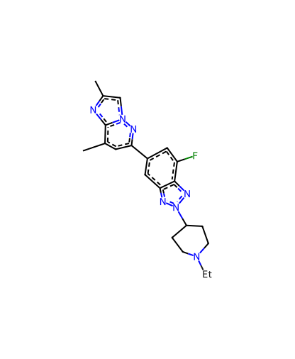 CCN1CCC(n2nc3cc(-c4cc(C)c5nc(C)cn5n4)cc(F)c3n2)CC1